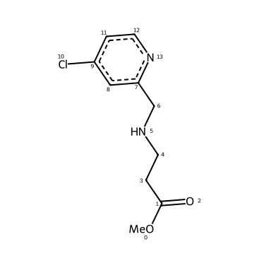 COC(=O)CCNCc1cc(Cl)ccn1